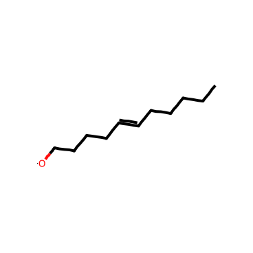 CCCCCC=CCCCC[O]